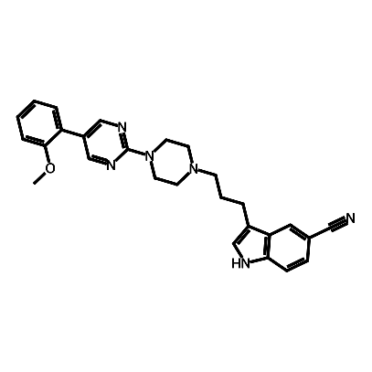 COc1ccccc1-c1cnc(N2CCN(CCCc3c[nH]c4ccc(C#N)cc34)CC2)nc1